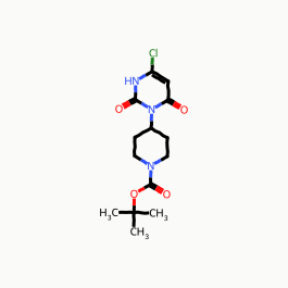 CC(C)(C)OC(=O)N1CCC(n2c(=O)cc(Cl)[nH]c2=O)CC1